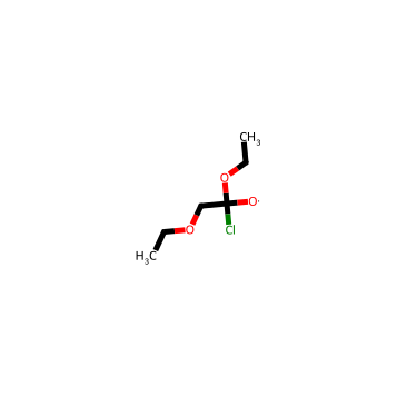 CCOCC([O])(Cl)OCC